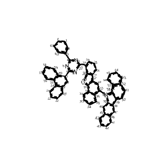 c1ccc(-c2nc(-c3cc4ccccc4c4ccccc34)nc(-c3cccc4c3oc3c5ccccc5c(-n5c6cc7ccccc7cc6c6ccc7ccccc7c65)cc43)n2)cc1